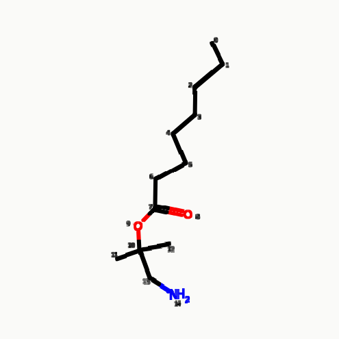 CCCCCCCC(=O)OC(C)(C)CN